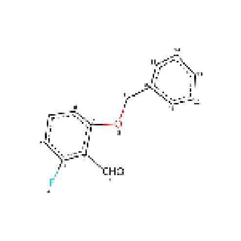 O=Cc1c(F)cccc1OCc1ccccc1